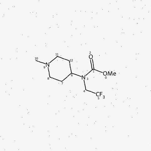 COC(=O)N(CC(F)(F)F)C1CCN(C)CC1